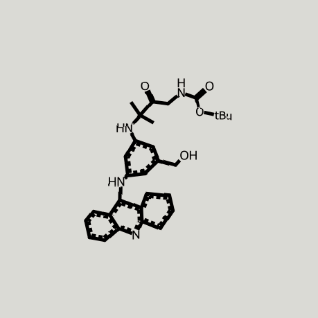 CC(C)(C)OC(=O)NCC(=O)C(C)(C)Nc1cc(CO)cc(Nc2c3ccccc3nc3ccccc23)c1